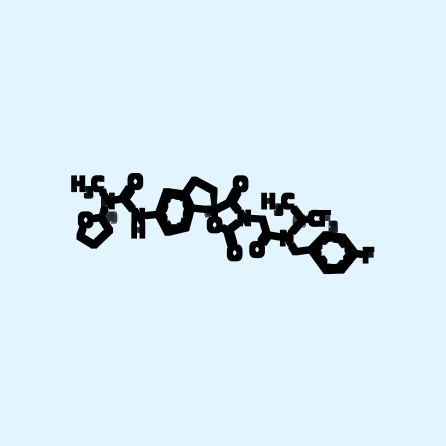 C[C@H](N(Cc1ccc(F)cc1)C(=O)CN1C(=O)O[C@@]2(CCc3cc(NC(=O)N(C)[C@H]4CCCO4)ccc32)C1=O)C(F)(F)F